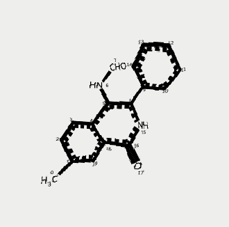 Cc1ccc2c(NC=O)c(-c3ccccc3)[nH]c(=O)c2c1